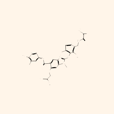 Cn1c(Nc2c(Cl)ccc(CNC(=O)C(N)C(F)(F)F)c2Cl)nc2cc(C(=O)Nc3ccc(F)c(Cl)c3)c(OCC(F)F)cc21